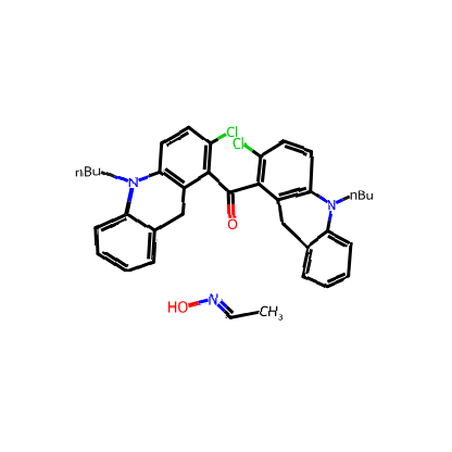 CCCCN1c2ccccc2Cc2c1ccc(Cl)c2C(=O)c1c(Cl)ccc2c1Cc1ccccc1N2CCCC.C[C]=NO